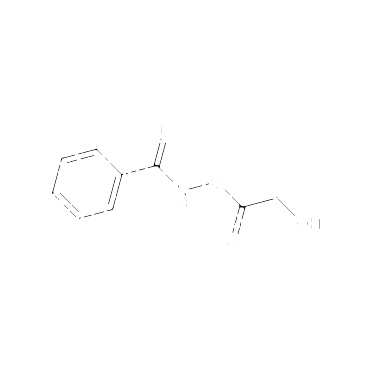 O=C(CO)ONC(=O)c1ccccc1